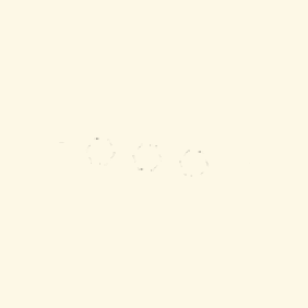 CCc1ccc(-c2ccc(-c3ccc(C4CCCC4)cc3)c(F)c2)cc1